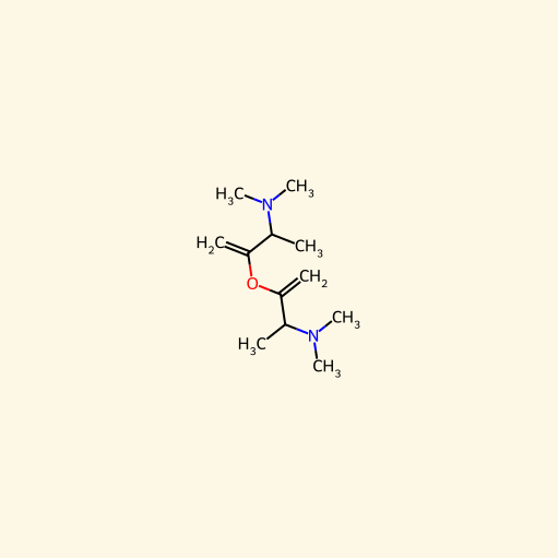 C=C(OC(=C)C(C)N(C)C)C(C)N(C)C